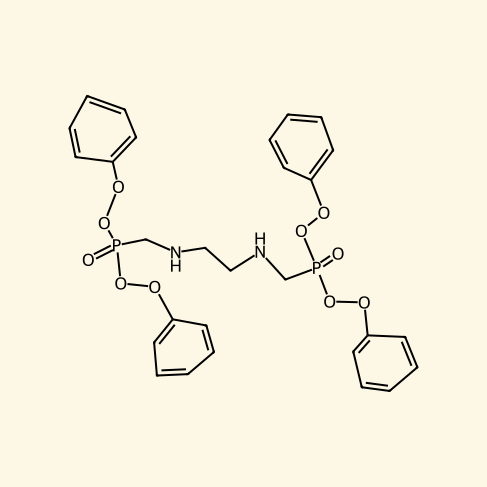 O=P(CNCCNCP(=O)(OOc1ccccc1)OOc1ccccc1)(OOc1ccccc1)OOc1ccccc1